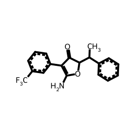 CC(c1ccccc1)C1OC(N)=C(c2cccc(C(F)(F)F)c2)C1=O